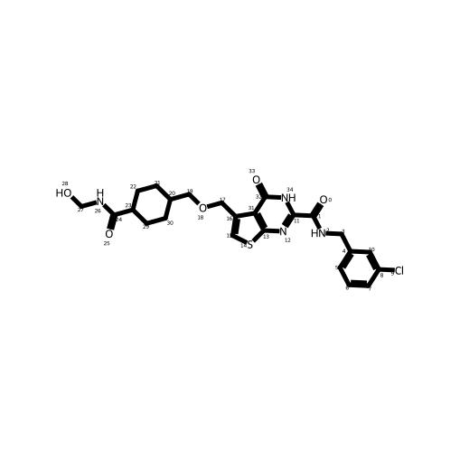 O=C(NCc1cccc(Cl)c1)c1nc2scc(COCC3CCC(C(=O)NCO)CC3)c2c(=O)[nH]1